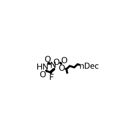 CCCCCCCCCCCCCC(C)OC(=O)On1cc(F)c(=O)[nH]c1=O